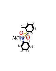 Cc1ccccc1S(=O)(=O)N(C#N)c1ccccc1